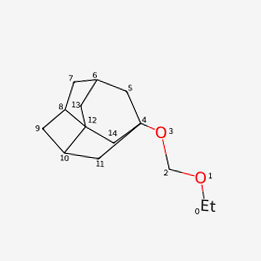 CCOCOC12CC3CC4CC(C1)C4(C3)C2